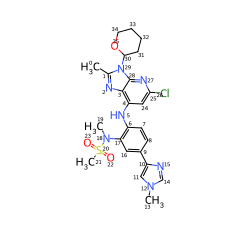 Cc1nc2c(Nc3ccc(-c4cn(C)cn4)cc3N(C)S(C)(=O)=O)cc(Cl)nc2n1C1CCCCO1